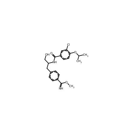 COC(=N)c1ccc(CC(CO)NC(=O)c2ccc(OC(C)C)c(Cl)c2)cc1